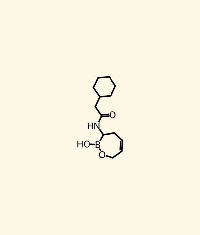 O=C(CC1CCCCC1)NC1CC=CCOB1O